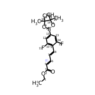 CCOC(=O)/C=C/C=Cc1c(F)cc(B2OC(C)(C)C(C)(C)O2)cc1F